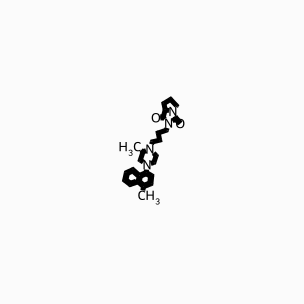 Cc1ccc(N2CCN(CCCCN3C(=O)C4CCCN4C3=O)C(C)C2)c2ccccc12